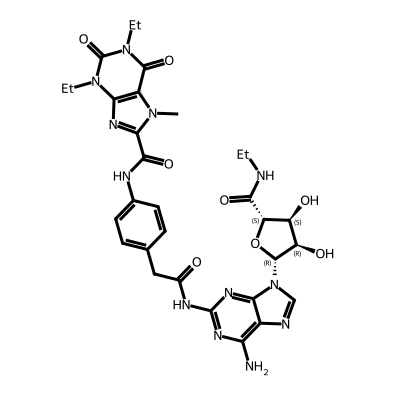 CCNC(=O)[C@H]1O[C@@H](n2cnc3c(N)nc(NC(=O)Cc4ccc(NC(=O)c5nc6c(c(=O)n(CC)c(=O)n6CC)n5C)cc4)nc32)[C@H](O)[C@@H]1O